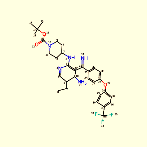 CCC1C=NC(NC2CCN(C(=O)OC(C)(C)C)CC2)=C(C(=N)c2ccc(Oc3ccc(C(F)(F)F)cc3)cc2)C1N